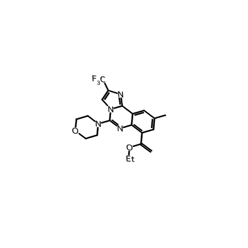 C=C(OCC)c1cc(C)cc2c1nc(N1CCOCC1)n1cc(C(F)(F)F)nc21